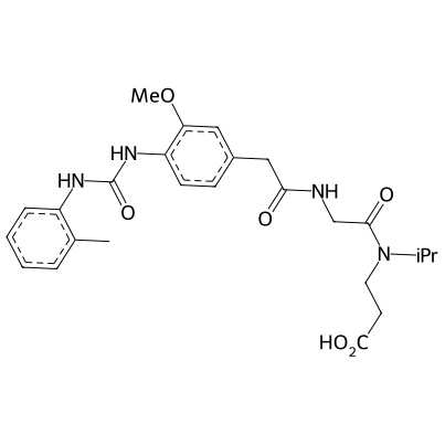 COc1cc(CC(=O)NCC(=O)N(CCC(=O)O)C(C)C)ccc1NC(=O)Nc1ccccc1C